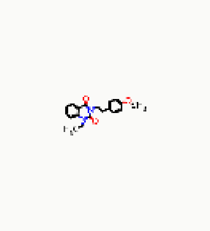 CCn1c(=O)n(CCc2ccc(OC)cc2)c(=O)c2ccccc21